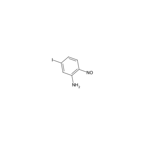 Nc1cc(I)ccc1N=O